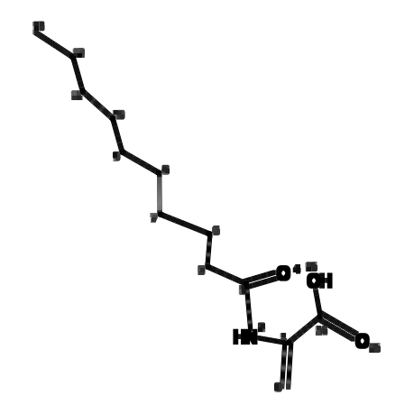 C=C(NC(=O)CCCCCCCCC)C(=O)O